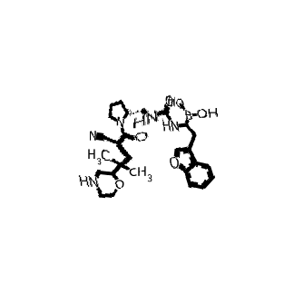 CC(C)(C=C(C#N)C(=O)N1CCC[C@@H]1CNC(=O)NC(Cc1coc2ccccc12)B(O)O)C1CNCCO1